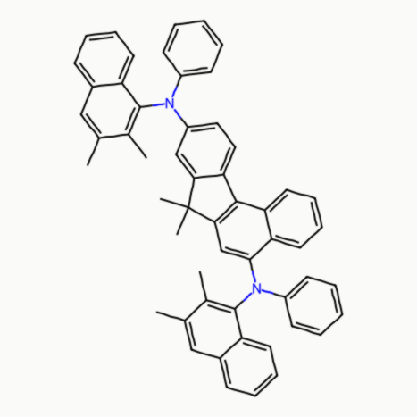 Cc1cc2ccccc2c(N(c2ccccc2)c2ccc3c(c2)C(C)(C)c2cc(N(c4ccccc4)c4c(C)c(C)cc5ccccc45)c4ccccc4c2-3)c1C